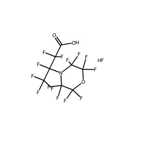 F.O=C(O)C(F)(F)C(F)(N1C(F)(F)C(F)(F)OC(F)(F)C1(F)F)C(F)(F)F